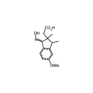 COc1ccc2c(c1)C(C)C(C)(CC(=O)O)C2=NO